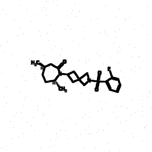 C[C@@H]1CC[C@@H](C)N(C2CC3(C2)CN(S(=O)(=O)c2ccccc2F)C3)C(=O)C1